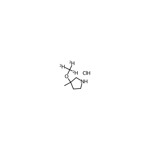 Cl.[2H]C([2H])([2H])OC1(C)CCNC1